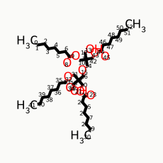 CCCCCCCC(=O)OCC(CO)(COCC(CO)(COC(=O)CCCCCCC)COC(=O)CCCCCCC)COC(=O)CCCCCCC